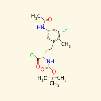 CC(=O)Nc1cc(F)c(C)c(CC[C@H](NC(=O)OC(C)(C)C)C(=O)Cl)c1